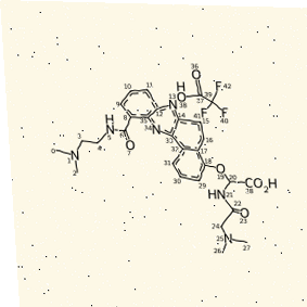 CN(C)CCNC(=O)c1cccc2nc3ccc4c(OC(NC(=O)CN(C)C)C(=O)O)cccc4c3nc12.O=C(O)C(F)(F)F